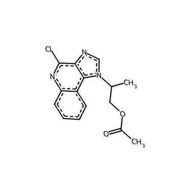 CC(=O)OCC(C)n1cnc2c(Cl)nc3ccccc3c21